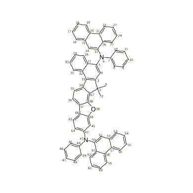 CC1(C)c2cc(N(c3ccccc3)c3cc4ccccc4c4ccccc34)c3ccccc3c2-c2ccc3c(oc4cc(N(c5ccccc5)c5cc6ccccc6c6ccccc56)ccc43)c21